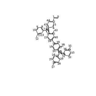 C=Cc1ccc(N(c2cccc(C)c2)c2ccc(-c3ccc(N(c4ccc(C)cc4)c4cccc(C)c4)c(C)c3)cc2C)cc1